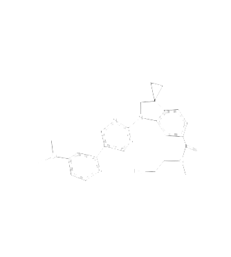 CN(CCO)C(=O)c1ccc2c(c1)N(c1ncc(-c3cc([S+](C)[O-])ccn3)cn1)CC21CC1